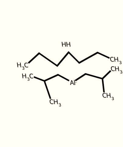 CC(C)[CH2][Al][CH2]C(C)C.CCCCCCC.[HH]